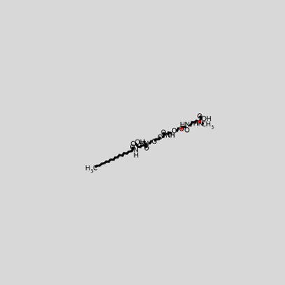 CCCCCCCCCCCCCCCCCC(=O)NC(CCC(=O)NCCOCCOCC(=O)NCCOCCOCC(=O)NCCCC[C@H](NC)C(=O)O)C(=O)O